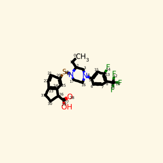 CCC1CN(c2ccc(C(F)(F)F)c(F)c2)CCN1Sc1ccc2c(c1)C(C(=O)O)CC2